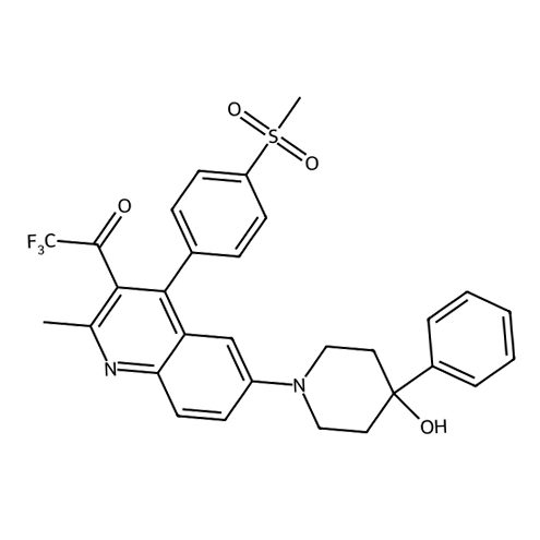 Cc1nc2ccc(N3CCC(O)(c4ccccc4)CC3)cc2c(-c2ccc(S(C)(=O)=O)cc2)c1C(=O)C(F)(F)F